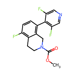 COC(=O)N1CCc2c(F)ccc(-c3c(F)cncc3F)c2C1